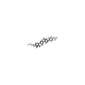 CCCCOc1ccc(-c2ccc(-c3ccc(C4CCC(CCC)CO4)cc3F)cc2)c(F)c1F